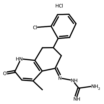 Cc1cc(=O)[nH]c2c1C(=NNC(=N)N)CC(c1ccccc1Cl)C2.Cl